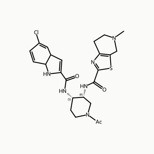 CC(=O)N1CC[C@H](NC(=O)C2=CC3C=C(Cl)C=CC3N2)[C@H](NC(=O)c2nc3c(s2)CN(C)CC3)C1